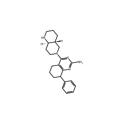 Nc1nc2c(c(N3CC[C@H]4NCCC[C@@H]4C3)n1)CCCC2c1ccccc1